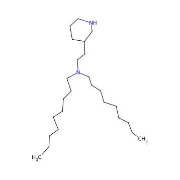 CCCCCCCCCN(CCCCCCCCC)CCC1CCCNC1